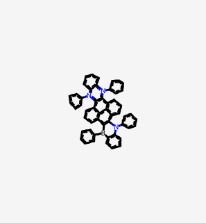 c1ccc(B2c3ccccc3N(c3ccccc3)c3c2c2cccc4c2c2c3cccc2c2c4n(-c3ccccc3)c3ccccc3n2-c2ccccc2)cc1